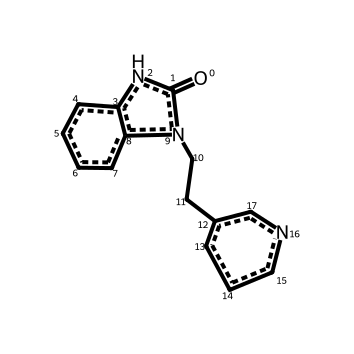 O=c1[nH]c2ccccc2n1CCc1cccnc1